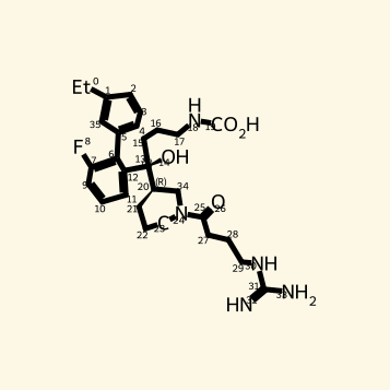 CCc1cccc(-c2c(F)cccc2[C@](O)(CCCNC(=O)O)[C@@H]2CCCN(C(=O)CCCNC(=N)N)C2)c1